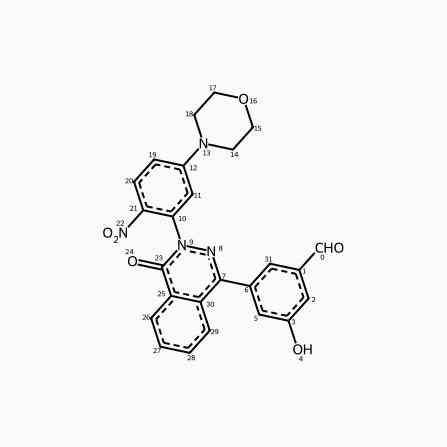 O=Cc1cc(O)cc(-c2nn(-c3cc(N4CCOCC4)ccc3[N+](=O)[O-])c(=O)c3ccccc23)c1